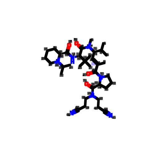 C/C(=C\[C@H](C(C)C)N(C)C(=O)[C@@H](NC(=O)[C@H]1CCCCN1C(C)C)C(C)(C)C)C(=O)N1CCC[C@H]1C(=O)N(CCC#N)CCC#N